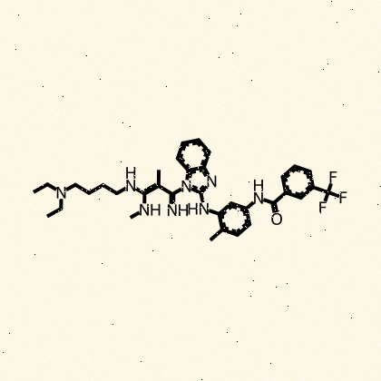 CCN(CC)CCCCN/C(NC)=C(\C)C(=N)n1c(Nc2cc(NC(=O)c3cccc(C(F)(F)F)c3)ccc2C)nc2ccccc21